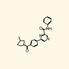 CC1CCN(C(=O)c2ccc(-c3cncc(C(=O)Nc4ccccc4)n3)cc2)C1